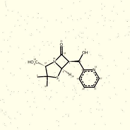 CC1(C)S[C@@H]2[C@H](C(O)c3ccccn3)C(=O)N2[C@H]1C(=O)O